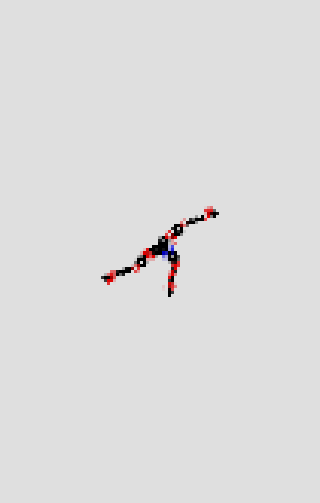 C=CC(=O)OCCCCCCOC1CCC(C(=O)Oc2ccc3c4ccc(OC(=O)C5CCC(OCCCCCCOC(=O)C=C)CC5)cc4c4nc5cc(OCCOCCOC(=O)C=C)ccc5nc4c3c2)CC1